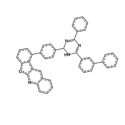 c1ccc(C2=NC(c3ccc(-c4cccc5oc6nc7ccccc7cc6c45)cc3)NC(c3cccc(-c4ccccc4)c3)=N2)cc1